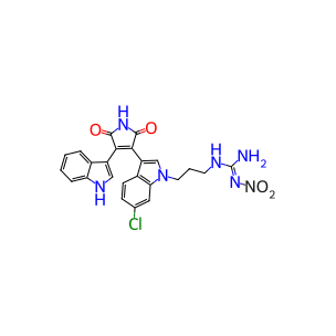 NC(=N[N+](=O)[O-])NCCCn1cc(C2=C(c3c[nH]c4ccccc34)C(=O)NC2=O)c2ccc(Cl)cc21